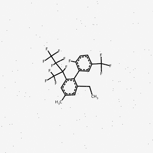 CCc1[c]c(C)cc(C(F)(C(F)(F)F)C(F)(F)C(F)(F)F)c1-c1cc(C(F)(F)F)ccc1F